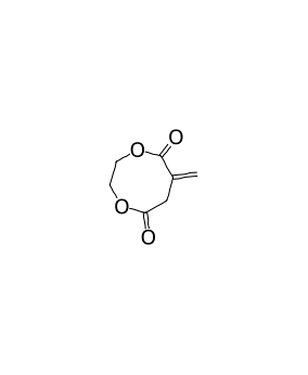 C=C1CC(=O)OCCOC1=O